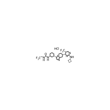 Cl.O=C(NCC(F)(F)F)Nc1cccc(-c2cnc3cc(-c4nc(NC5CCC5)ncc4C(F)(F)F)ccn23)c1